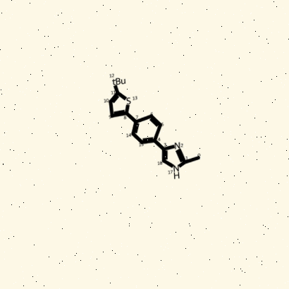 Cc1nc(-c2ccc(-c3ccc(C(C)(C)C)s3)cc2)c[nH]1